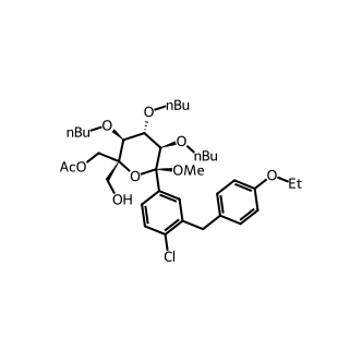 CCCCO[C@@H]1[C@@H](OCCCC)[C@](OC)(c2ccc(Cl)c(Cc3ccc(OCC)cc3)c2)O[C@](CO)(COC(C)=O)[C@H]1OCCCC